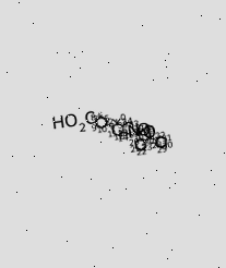 CC1(C)C(c2ccc(C(=O)O)cc2)=CC[C@]2(C)CN(C(=O)c3ccccc3C(=O)c3ccccc3)CC=C12